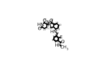 CNC(=O)c1cccc(CNC2C=CC=C3C(=O)N([C@]4(N)CCC(=O)NC4=O)CC32)c1F